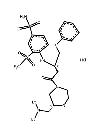 CCN(CC)C[C@@H]1CN(C(=O)C[C@H](CSc2ccccc2)Nc2ccc(S(N)(=O)=O)cc2S(=O)(=O)C(F)(F)F)CCO1.Cl